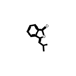 CC(C)C=C1OC(=O)c2ccccc21